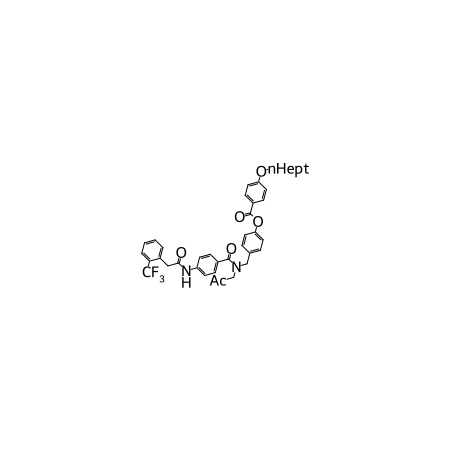 CCCCCCCOc1ccc(C(=O)Oc2ccc(CN(CC(C)=O)C(=O)c3ccc(NC(=O)Cc4ccccc4C(F)(F)F)cc3)cc2)cc1